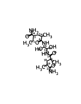 CCC(CC(C)C(=O)NC(O)C(O)NC(=O)C(C)CC(C)C(N)=O)C(N)=O